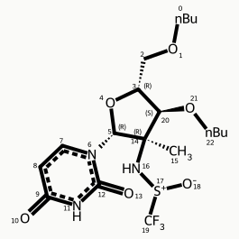 CCCCOC[C@H]1O[C@@H](n2ccc(=O)[nH]c2=O)[C@](C)(N[S+]([O-])C(F)(F)F)[C@@H]1OCCCC